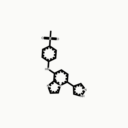 CS(=O)(=O)c1ccc(Nc2ccc(-c3cn[nH]c3)n3ccnc23)cc1